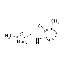 Cc1nnc(CNc2cccc(C)c2Cl)o1